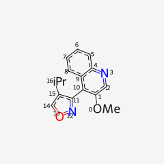 COc1[c]nc2ccccc2c1-c1nocc1C(C)C